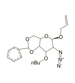 C=CCO[C@@H]1OC2COC(c3ccccc3)OC2C(OCCCC)C1N=[N+]=[N-]